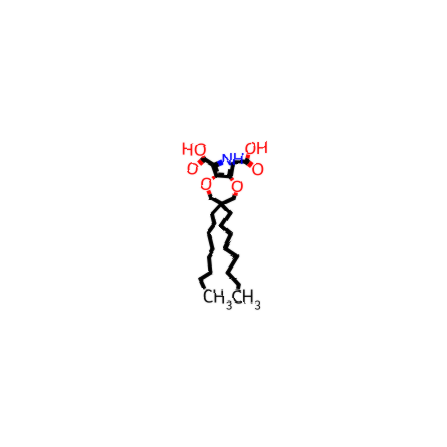 CCCCCCCCC1(CCCCCCCC)COc2c(C(=O)O)[nH]c(C(=O)O)c2OC1